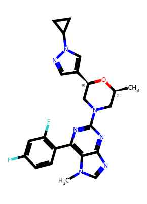 C[C@H]1CN(c2nc(-c3ccc(F)cc3F)c3c(ncn3C)n2)C[C@@H](c2cnn(C3CC3)c2)O1